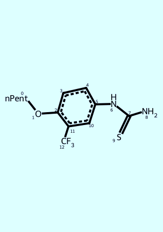 CCCCCOc1ccc(NC(N)=S)cc1C(F)(F)F